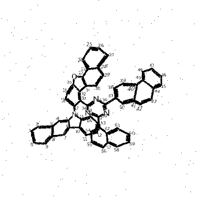 c1ccc2cc3c(cc2c1)c1ccccc1n3-c1ccc2oc3c4ccccc4ccc3c2c1-c1nc(-c2ccc3c(ccc4ccccc43)c2)nc(-c2cccc3ccccc23)n1